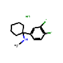 CNC1(c2ccc(F)c(F)c2)CCCCC1.Cl